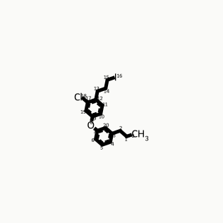 CCCc1cccc(Oc2ccc(CCCI)c(Cl)c2)c1